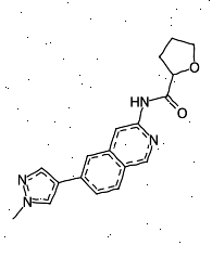 Cn1cc(-c2ccc3cnc(NC(=O)C4CCCO4)cc3c2)cn1